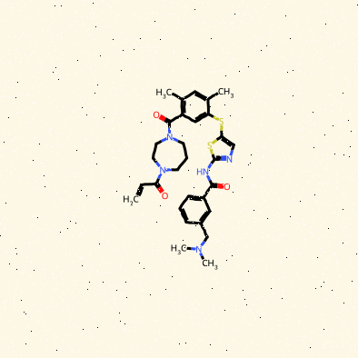 C=CC(=O)N1CCCN(C(=O)c2cc(Sc3cnc(NC(=O)c4cccc(CN(C)C)c4)s3)c(C)cc2C)CC1